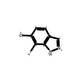 Clc1ccc2cn[nH]c2c1I